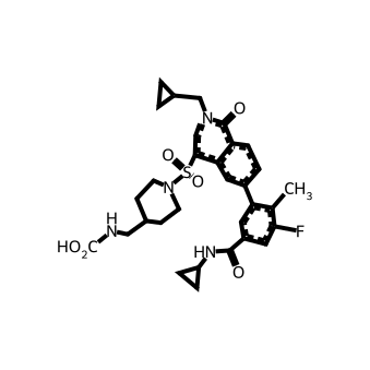 Cc1c(F)cc(C(=O)NC2CC2)cc1-c1ccc2c(=O)n(CC3CC3)cc(S(=O)(=O)N3CCC(CNC(=O)O)CC3)c2c1